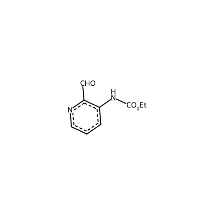 CCOC(=O)Nc1cccnc1C=O